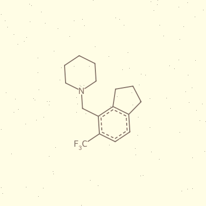 FC(F)(F)c1ccc2c(c1CN1CCCCC1)CCC2